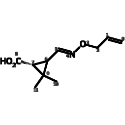 C=CCON=CC1[C@@H](C(=O)O)C1(C)C